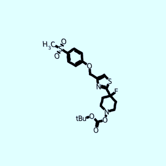 CC(C)(C)OC(=O)ON1CCC(F)(c2nc(COc3ccc(S(C)(=O)=O)cc3)cs2)CC1